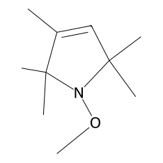 CON1C(C)(C)C=C(C)C1(C)C